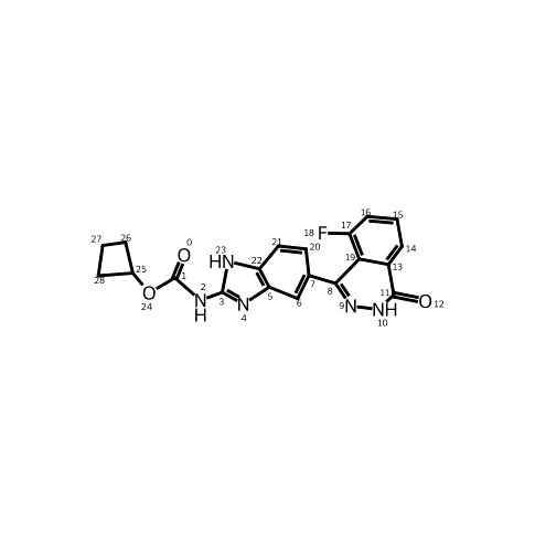 O=C(Nc1nc2cc(-c3n[nH]c(=O)c4cccc(F)c34)ccc2[nH]1)OC1CCC1